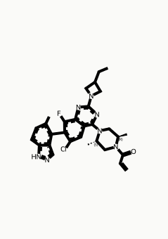 C=CC(=O)N1C[C@H](C)N(c2nc(N3CC(CC)C3)nc3c(F)c(-c4c(C)ccc5[nH]ncc45)c(Cl)cc23)C[C@H]1C